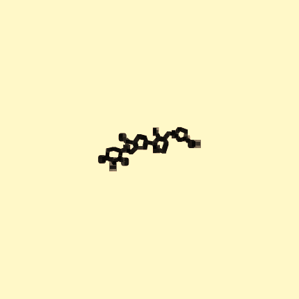 O=C1CCC(N2Cc3cc(-c4nccc(CN5CC[C@@H](O)C5)c4F)ccc3C2=O)C(=O)N1